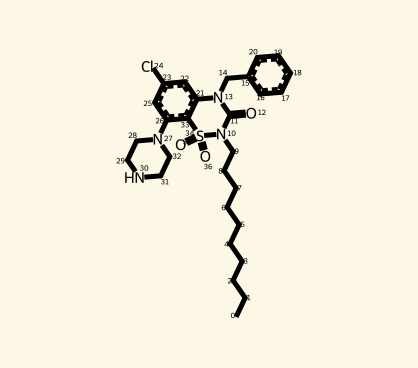 CCCCCCCCCCN1C(=O)N(Cc2ccccc2)c2cc(Cl)cc(N3CCNCC3)c2S1(=O)=O